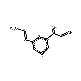 N=CC(=N)c1cccc(/C=C/C(=O)O)c1